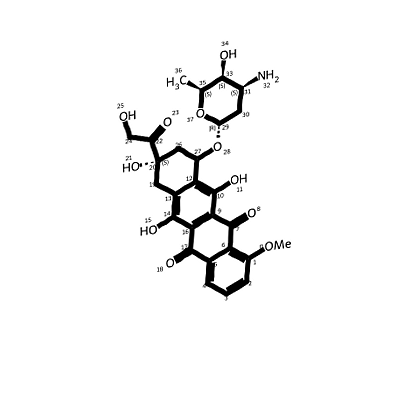 COc1cccc2c1C(=O)c1c(O)c3c(c(O)c1C2=O)C[C@@](O)(C(=O)CO)CC3O[C@H]1C[C@H](N)[C@H](O)[C@H](C)O1